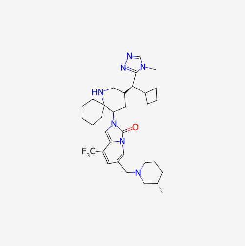 C[C@H]1CCCN(Cc2cc(C(F)(F)F)c3cn(C4CC([C@@H](c5nncn5C)C5CCC5)CNC45CCCCC5)c(=O)n3c2)C1